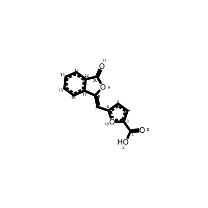 O=C(O)c1ccc(/C=C2\OC(=O)c3ccccc32)o1